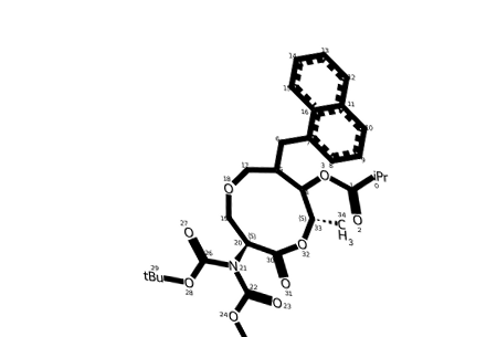 CC(C)C(=O)OC1C(Cc2cccc3ccccc23)COC[C@H](N(C(=O)OC(C)(C)C)C(=O)OC(C)(C)C)C(=O)O[C@H]1C